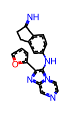 N=C1CCc2cc(Nc3c(-c4ccco4)nc4cnccn34)ccc21